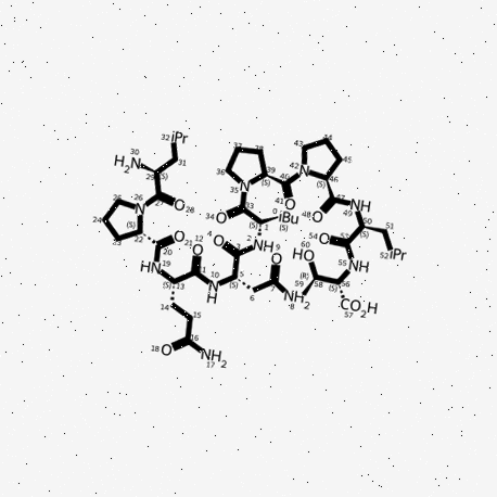 CC[C@H](C)[C@H](NC(=O)[C@H](CC(N)=O)NC(=O)[C@H](CCC(N)=O)NC(=O)[C@@H]1CCCN1C(=O)[C@@H](N)CC(C)C)C(=O)N1CCC[C@H]1C(=O)N1CCC[C@H]1C(=O)N[C@@H](CC(C)C)C(=O)N[C@H](C(=O)O)[C@@H](C)O